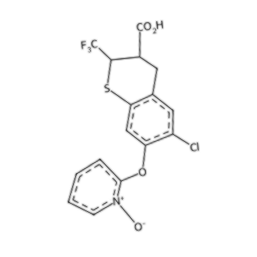 O=C(O)C1Cc2cc(Cl)c(Oc3cccc[n+]3[O-])cc2SC1C(F)(F)F